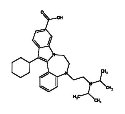 CC(C)N(CCN1CCn2c(c(C3CCCCC3)c3ccc(C(=O)O)cc32)-c2ccccc21)C(C)C